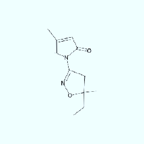 CCC1(C)CC(N2[CH]C(C)=CC2=O)=NO1